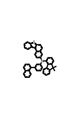 CC1(C)c2ccccc2-c2c(N(c3cccc(-c4cccc5ccccc45)c3)c3ccc4c(ccc5sc6ccccc6c54)c3)cccc21